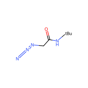 CC(C)(C)NC(=O)CN=[N+]=[N-]